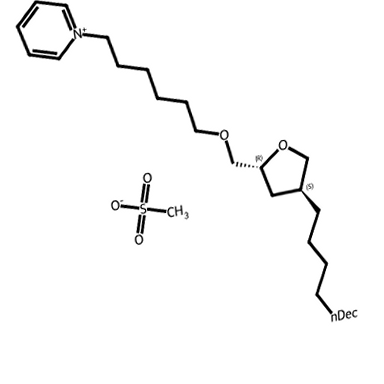 CCCCCCCCCCCCCC[C@@H]1CO[C@@H](COCCCCCC[n+]2ccccc2)C1.CS(=O)(=O)[O-]